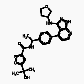 CC(NC(=O)c1cc(C(C)(C)O)on1)c1ccc(-c2ccnc3[nH]nc(NC4CCOC4)c23)cc1